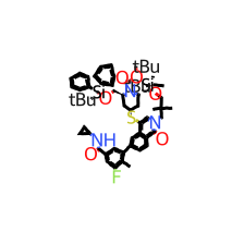 Cc1c(F)cc(C(=O)NC2CC2)cc1-c1ccc2c(=O)n(CC(C)(C)CO[Si](C)(C)C(C)(C)C)cc(S[C@H]3CCN(C(=O)OC(C)(C)C)[C@H](CO[Si](c4ccccc4)(c4ccccc4)C(C)(C)C)C3)c2c1